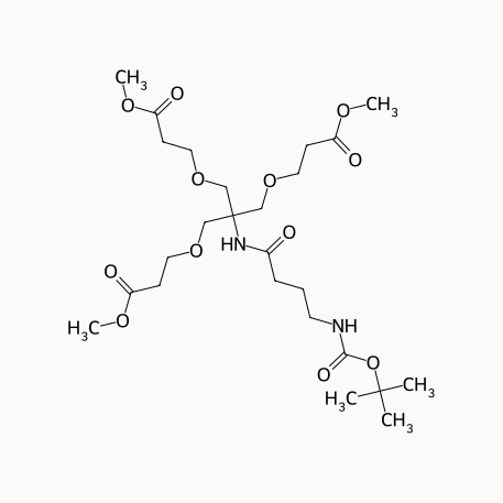 COC(=O)CCOCC(COCCC(=O)OC)(COCCC(=O)OC)NC(=O)CCCNC(=O)OC(C)(C)C